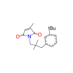 CC1=CC(=O)N(CC(C)(C)Cc2cccc(C(C)(C)C)c2)C1=O